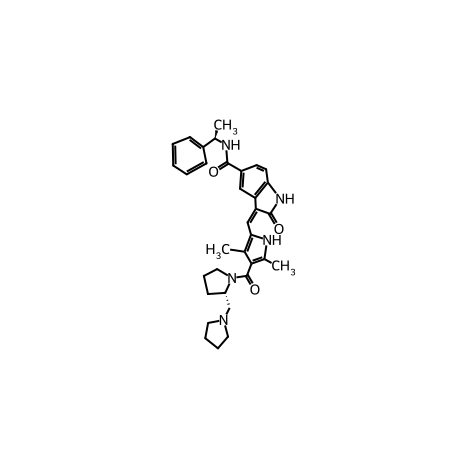 Cc1[nH]c(C=C2C(=O)Nc3ccc(C(=O)N[C@H](C)c4ccccc4)cc32)c(C)c1C(=O)N1CCC[C@H]1CN1CCCC1